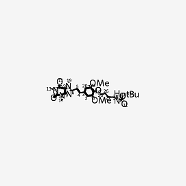 COc1cc(C=Cc2nc3c(c(=O)n(C)c(=O)n3C)n2C)cc(OC)c1OCCCCNC(=O)OC(C)(C)C